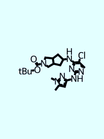 Cc1cc(Nc2ncc(Cl)c(NC3CC4CN(C(=O)OC(C)(C)C)CC4C3)n2)nn1C